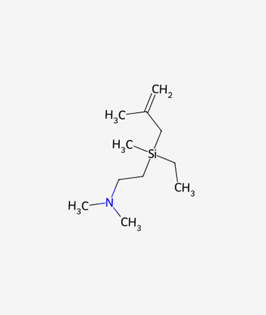 C=C(C)C[Si](C)(CC)CCN(C)C